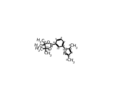 Cc1cc(C)n(-c2cccc(B3OC(C)(C)C(C)(C)O3)c2)n1